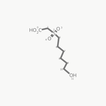 O=C(O)CS(=O)(=O)CCCCCCO